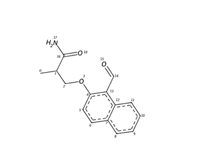 CC(COc1ccc2ccccc2c1C=O)C(N)=O